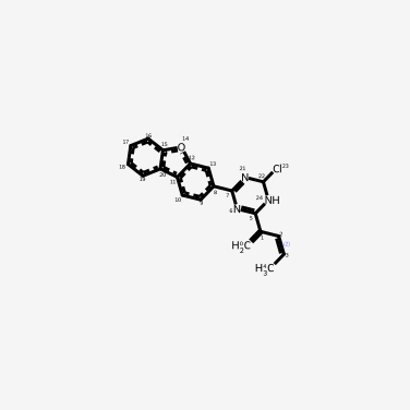 C=C(/C=C\C)C1=NC(c2ccc3c(c2)oc2ccccc23)=NC(Cl)N1